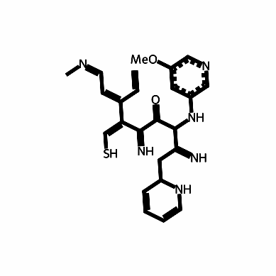 C=CC(=C\C=N/C)/C(=C/S)C(=N)C(=O)C(Nc1cncc(OC)c1)C(=N)CC1C=CC=CN1